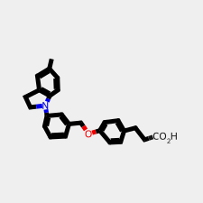 Cc1ccc2c(c1)CCN2c1cccc(COc2ccc(CCC(=O)O)cc2)c1